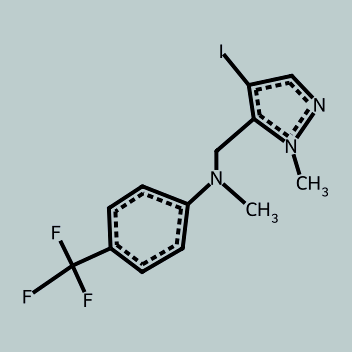 CN(Cc1c(I)cnn1C)c1ccc(C(F)(F)F)cc1